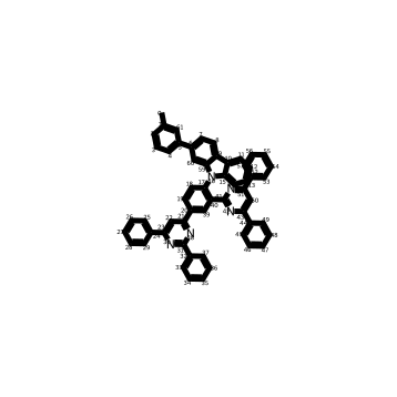 Cc1cccc(-c2ccc3c4ccccc4n(-c4ccc(-c5cc(-c6ccccc6)nc(-c6ccccc6)n5)cc4-c4nc(-c5ccccc5)cc(-c5ccccc5)n4)c3c2)c1